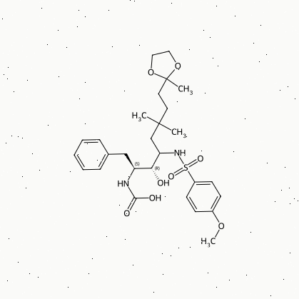 COc1ccc(S(=O)(=O)NC(CC(C)(C)CCC2(C)OCCO2)[C@H](O)[C@H](Cc2ccccc2)NC(=O)O)cc1